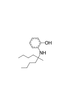 CCCCC(C)(CCCC)Nc1ccccc1O